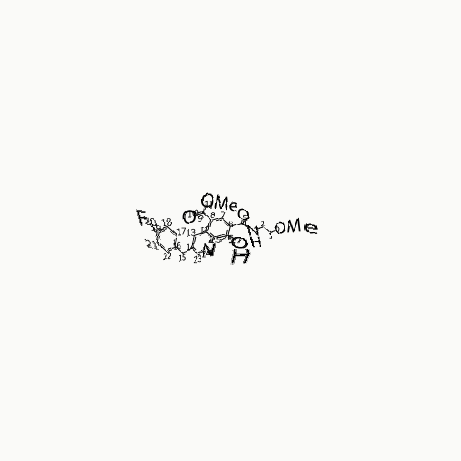 COCCNC(=O)c1cc(C(=O)OC)c2cc(Cc3ccc(F)cc3)cnc2c1O